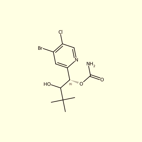 CC(C)(C)C(O)[C@@H](OC(N)=O)c1cc(Br)c(Cl)cn1